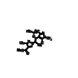 CCCCC(=O)O/C(=C(/C#N)n1cc(C(=O)OC)c(C(C)(C)C)n1)c1c(C(F)(F)F)nn(C)c1Cl